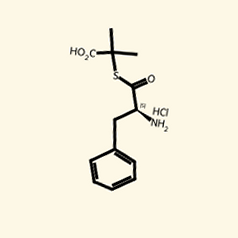 CC(C)(SC(=O)[C@@H](N)Cc1ccccc1)C(=O)O.Cl